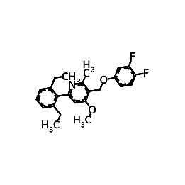 CCc1cccc(CC)c1-c1cc(OC)c(COc2ccc(F)c(F)c2)c(C)n1